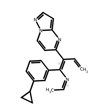 C=C/C(=C(\N=C/C)c1cccc(C2CC2)c1)c1ccn2nccc2n1